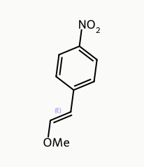 CO/C=C/c1ccc([N+](=O)[O-])cc1